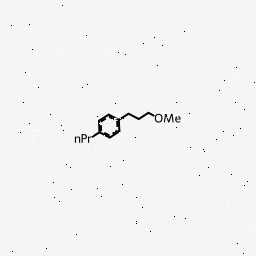 CCCc1ccc(CCCOC)cc1